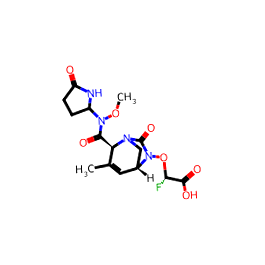 CON(C(=O)[C@@H]1C(C)=C[C@@H]2CN1C(=O)N2O[C@@H](F)C(=O)O)C1CCC(=O)N1